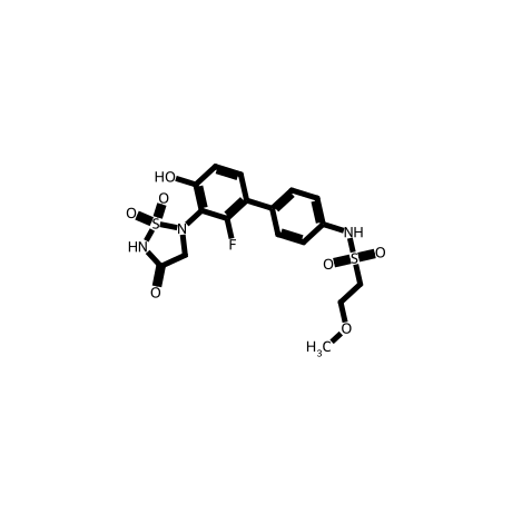 COCCS(=O)(=O)Nc1ccc(-c2ccc(O)c(N3CC(=O)NS3(=O)=O)c2F)cc1